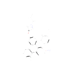 C=C(\C=C/C(=C\C)C(/C(=C)C1=CCCC=C1Cl)=C(/ON)[C@H]1C=C[C@@H](O)CC1)OC1CN(CCC)C1